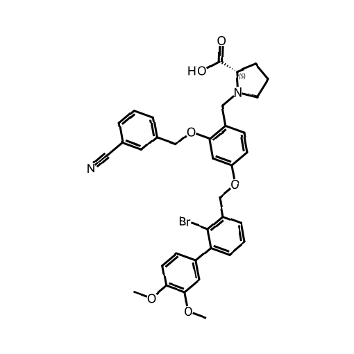 COc1ccc(-c2cccc(COc3ccc(CN4CCC[C@H]4C(=O)O)c(OCc4cccc(C#N)c4)c3)c2Br)cc1OC